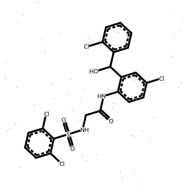 O=C(CNS(=O)(=O)c1c(Cl)cccc1Cl)Nc1ccc(Cl)cc1C(O)c1ccccc1Cl